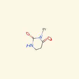 CC(C)N1C(=O)CCNC1=O